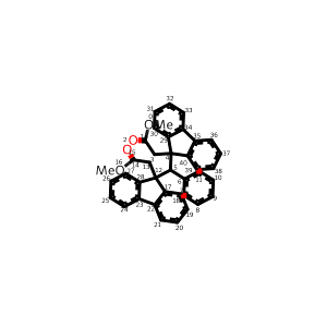 COC(=O)CC1(C(c2ccccc2)C2(CC(=O)OC)c3ccccc3-c3ccccc32)c2ccccc2-c2ccccc21